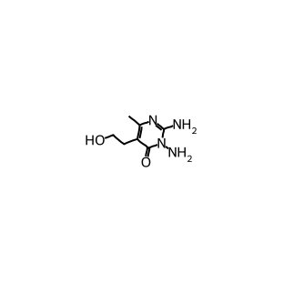 Cc1nc(N)n(N)c(=O)c1CCO